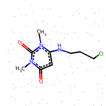 Cn1c(NCCCCl)cc(=O)n(C)c1=O